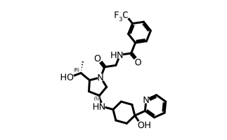 C[C@@H](O)C1C[C@H](NC2CCC(O)(c3ccccn3)CC2)CN1C(=O)CNC(=O)c1cccc(C(F)(F)F)c1